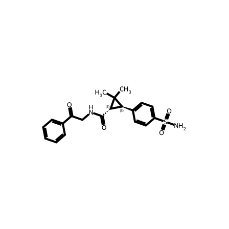 CC1(C)[C@@H](C(=O)NCC(=O)c2ccccc2)[C@@H]1c1ccc(S(N)(=O)=O)cc1